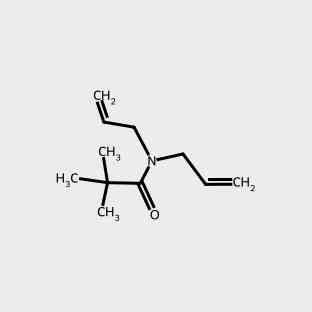 C=CCN(CC=C)C(=O)C(C)(C)C